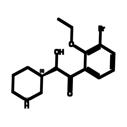 CCOc1c(Br)cccc1C(=O)C(O)[C@@H]1CCCNC1